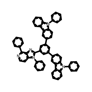 c1ccc(-c2nccc3c2nc(-c2cc(-c4ccc5c(c4)c4ccccc4n5-c4ccccc4)cc(-c4ccc5c(c4)c4ccccc4n5-c4ccccc4)c2)n3-c2ccccc2)cc1